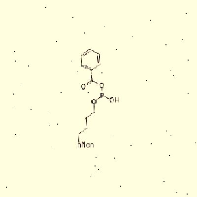 CCCCCCCCCCCCCOP(O)OC(=O)c1ccccc1